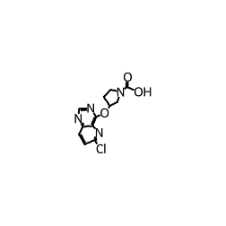 O=C(O)N1CCC(Oc2ncnc3ccc(Cl)nc23)C1